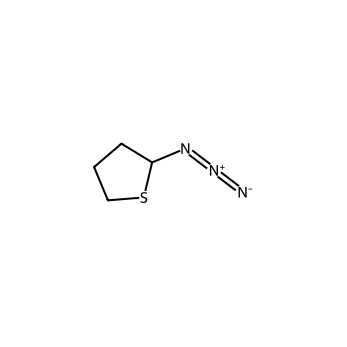 [N-]=[N+]=NC1CCCS1